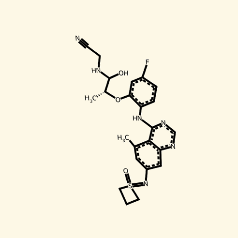 Cc1cc(N=S2(=O)CCC2)cc2ncnc(Nc3ccc(F)cc3O[C@H](C)C(O)NCC#N)c12